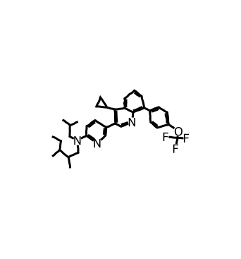 CCC(C)C(C)CN(CC(C)C)c1ccc(-c2cnc3c(-c4ccc(OC(F)(F)F)cc4)cccc3c2C2CC2)cn1